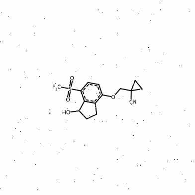 N#CC1(COc2ccc(S(=O)(=O)C(F)(F)F)c3c2CCC3O)CC1